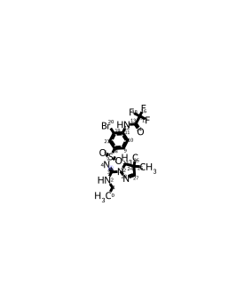 CCN/C(=N/S(=O)(=O)c1ccc(NC(=O)C(F)(F)F)c(Br)c1)N1CC(C)(C)C=N1